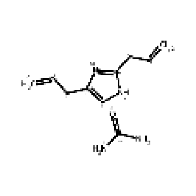 C=CCc1c[nH]c(CC=C)n1.NC(N)=O